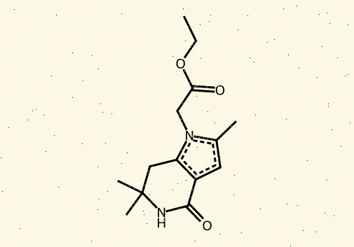 CCOC(=O)Cn1c(C)cc2c1CC(C)(C)NC2=O